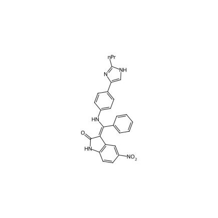 CCCc1nc(-c2ccc(N/C(=C3\C(=O)Nc4ccc([N+](=O)[O-])cc43)c3ccccc3)cc2)c[nH]1